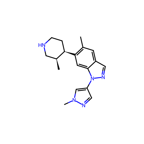 Cc1cc2cnn(-c3cnn(C)c3)c2cc1[C@@H]1CCNC[C@@H]1C